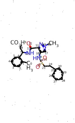 Cc1ccccc1C(CC(=O)O)NC(=O)c1nn(C)cc1NS(=O)(=O)CCc1ccccc1